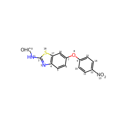 O=CNc1nc2ccc(Oc3ccc([N+](=O)[O-])cc3)cc2s1